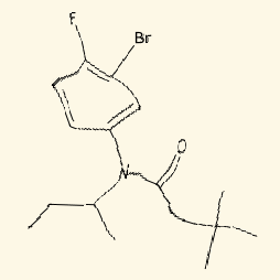 CCC(C)N(C(=O)CC(C)(C)C)c1ccc(F)c(Br)c1